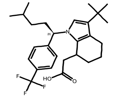 CC(C)CC[C@H](c1ccc(C(F)(F)F)cc1)n1cc(C(C)(C)C)c2c1C(CC(=O)O)CCC2